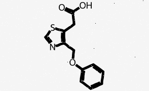 O=C(O)Cc1scnc1COc1ccccc1